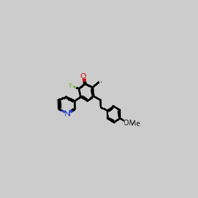 [CH2]C1=C(CCc2ccc(OC)cc2)C=C(c2cccnc2)C(F)C1=O